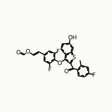 Cc1cc(F)ccc1C(=O)c1sc2cc(O)ccc2c1Oc1c(F)cc(/C=C/OC=O)cc1F